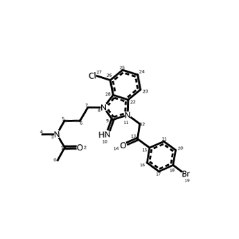 CC(=O)N(C)CCCn1c(=N)n(CC(=O)c2ccc(Br)cc2)c2cccc(Cl)c21